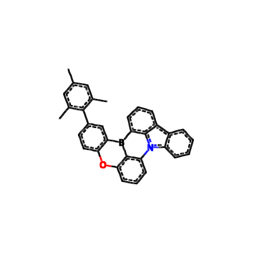 Cc1cc(C)c(-c2ccc3c(c2)B2c4c(cccc4-n4c5ccccc5c5cccc2c54)O3)c(C)c1